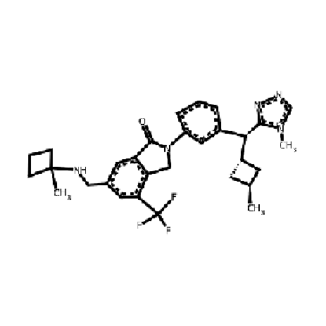 Cn1cnnc1[C@H](c1cccc(N2Cc3c(cc(CNC4(C)CCC4)cc3C(F)(F)F)C2=O)c1)[C@H]1C[C@H](C)C1